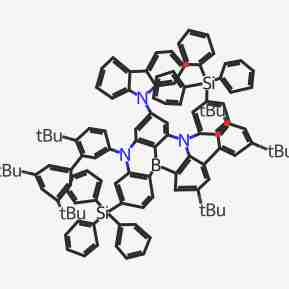 CC(C)(C)c1cc(-c2cc(N3c4cc([Si](c5ccccc5)(c5ccccc5)c5ccccc5)ccc4B4c5cc(C(C)(C)C)cc(-c6cc(C(C)(C)C)cc(C(C)(C)C)c6)c5N(c5cccc([Si](c6ccccc6)(c6ccccc6)c6ccccc6)c5)c5cc(-n6c7ccccc7c7ccccc76)cc3c54)ccc2C(C)(C)C)cc(C(C)(C)C)c1